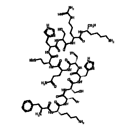 CSCC[C@H](NC(=O)[C@H](CCC(N)=O)NC(=O)[C@H](CC(C)C)NC(=O)[C@H](Cc1c[nH]cn1)NC(=O)[C@H](CO)NC(=O)[C@H](CC(C)C)NC(=O)[C@H](CCCCN)NC(=O)[C@@H](N)Cc1ccccc1)C(=O)N[C@@H](Cc1c[nH]cn1)C(=O)N[C@@H](CO)C(=O)N[C@@H](CCCNC(=N)N)C(=O)N[C@@H](CCCCN)C(=O)O